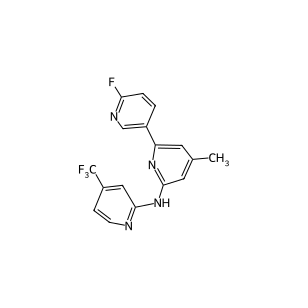 Cc1cc(Nc2cc(C(F)(F)F)ccn2)nc(-c2ccc(F)nc2)c1